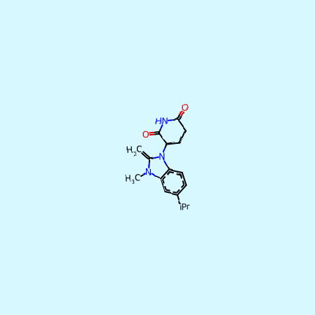 C=C1N(C)c2cc(C(C)C)ccc2N1C1CCC(=O)NC1=O